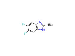 CCC(C)c1nc2cc(F)c(F)cc2[nH]1